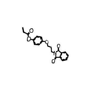 CCC(=O)Oc1ccc(OCCCN2C(=O)c3ccccc3C2=O)cc1